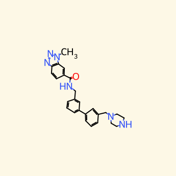 Cn1nnc2ccc(C(=O)NCc3cccc(-c4cccc(CN5CCNCC5)c4)c3)cc21